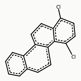 Clc1ccc(Cl)c2c1ccc1c3ccccc3ccc12